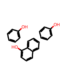 Oc1cccc2ccccc12.Oc1ccccc1.Oc1ccccc1